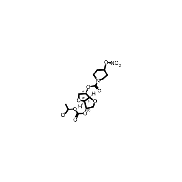 CC(Cl)OC(=O)O[C@@H]1CO[C@H]2[C@@H]1OC[C@H]2OC(=O)N1CCC(O[N+](=O)[O-])CC1